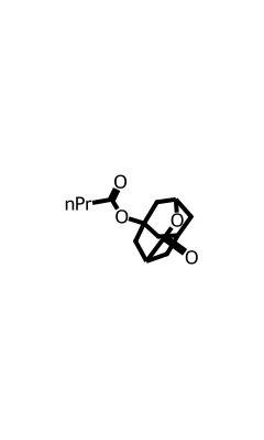 CCCC(=O)OC12CC3CC(C1)OC(=O)C(C3)C2